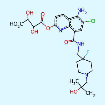 CC(C)(O)CN1CCC(F)(CNC(=O)c2cc(Cl)c(N)c3ccc(OC(=O)C(O)C(O)C(=O)O)nc23)CC1